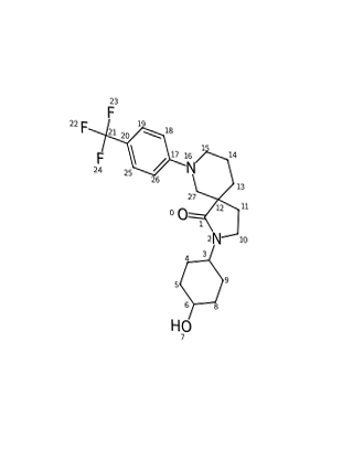 O=C1N(C2CCC(O)CC2)CCC12CCCN(c1ccc(C(F)(F)F)cc1)C2